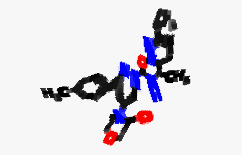 Cc1ccc(C2=NN(C(=O)N[C@H](C)c3ccc(C(F)(F)F)nn3)CC2N2CCOCC2=O)cc1